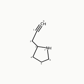 C#CCC1CCCN1